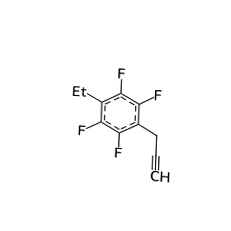 C#CCc1c(F)c(F)c(CC)c(F)c1F